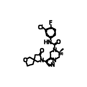 C[C@H]1Cn2ncc(N3CC4(CCOC4)CC3=O)c2CN1C(=O)Nc1ccc(F)c(Cl)c1